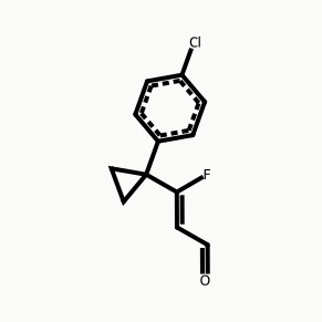 O=CC=C(F)C1(c2ccc(Cl)cc2)CC1